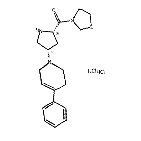 Cl.Cl.O=C([C@@H]1C[C@H](N2CC=C(c3ccccc3)CC2)CN1)N1CCSC1